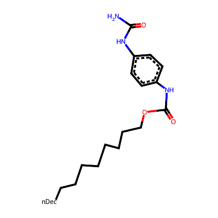 CCCCCCCCCCCCCCCCCCOC(=O)Nc1ccc(NC(N)=O)cc1